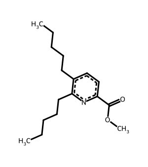 CCCCCc1ccc(C(=O)OC)nc1CCCCC